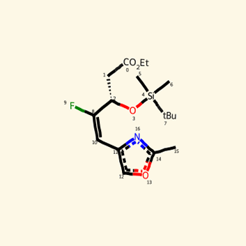 CCOC(=O)C[C@H](O[Si](C)(C)C(C)(C)C)/C(F)=C\c1coc(C)n1